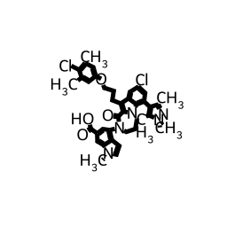 Cc1cc(OCCCc2c3n(c4c(-c5c(C)nn(C)c5C)cc(Cl)cc24)CCCN(c2cc(C(=O)O)cc4c2ccn4C)C3=O)cc(C)c1Cl